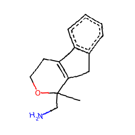 CC1(CN)OCCC2=C1Cc1ccccc12